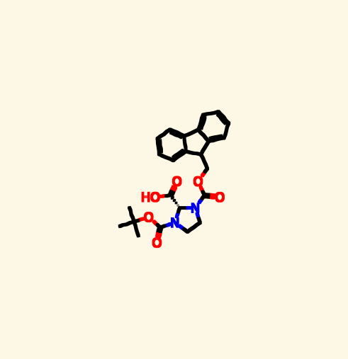 CC(C)(C)OC(=O)N1CCN(C(=O)OCC2c3ccccc3-c3ccccc32)[C@H]1C(=O)O